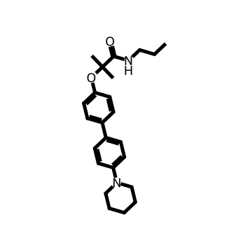 CCCNC(=O)C(C)(C)Oc1ccc(-c2ccc(N3CCCCC3)cc2)cc1